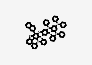 c1ccc(N(c2ccccc2)c2cc3c4c(c2)N(c2ccccc2)c2cc5c(cc2B4c2ccccc2N3c2ccccc2)B2c3ccccc3N(c3ccccc3)c3c2c(c(-c2ccc4ccccc4c2)c2oc4ccccc4c32)O5)cc1